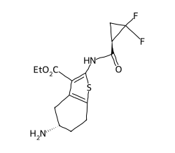 CCOC(=O)c1c(NC(=O)[C@H]2CC2(F)F)sc2c1C[C@@H](N)CC2